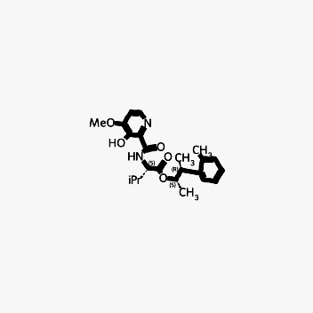 COc1ccnc(C(=O)N[C@H](C(=O)O[C@@H](C)[C@H](C)c2ccccc2C)C(C)C)c1O